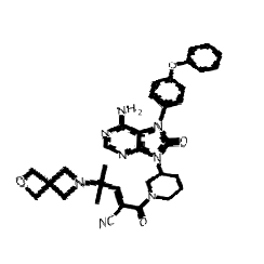 CC(C)(C=C(C#N)C(=O)N1CCCC(n2c(=O)n(-c3ccc(Oc4ccccc4)cc3)c3c(N)ncnc32)C1)N1CC2(COC2)C1